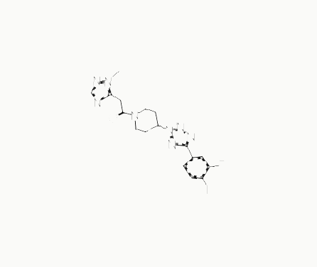 Cn1ncnc1CC(=O)N1CCC(n2nnc(-c3ccc(F)c(F)c3)n2)CC1